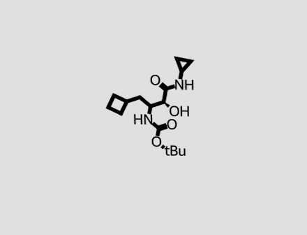 CC(C)(C)OC(=O)NC(CC1CCC1)[C@H](O)C(=O)NC1CC1